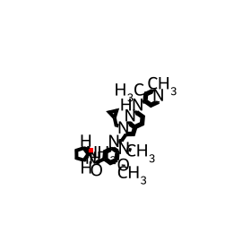 COc1cc(C(=O)N2C[C@H]3CC[C@@H]2[C@@H]3N)cc2nc(-c3cc4ccc(Nc5ccnc(C)c5C)nc4n3CC3CC3)n(C)c12